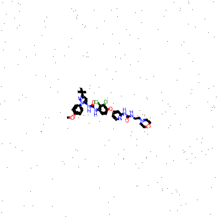 COc1ccc(-n2nc(C(C)(C)C)cc2NC(=O)Nc2ccc(Oc3ccnc(NC(=O)NCCN4CCOCC4)c3)c(Cl)c2Cl)cc1